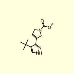 COC(=O)N1CC=C(c2n[nH]cc2C(C)(C)C)C1